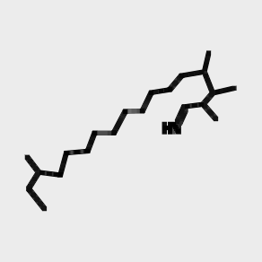 CCC(C)CCCCCCCCCCC(C)C(C)C(C)C=N